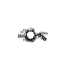 CCC1/C=C(\C)C(F)C(C)CC(OC)C2OC(O)(C(=O)C(=O)N3CCCCC3C(=O)OC(C(C)=CC3CCC(Oc4ccc5ccccc5c4)C(OC)C3)C(C)CCC1=O)C(C)CC2OC